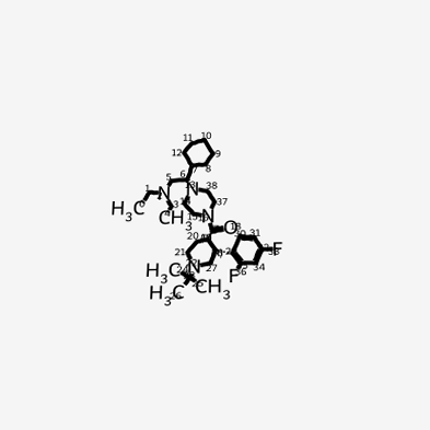 CCN(CC)CC(C1CCCCC1)N1CCN(C(=O)[C@@H]2CCN(C(C)(C)C)C[C@H]2c2ccc(F)cc2F)CC1